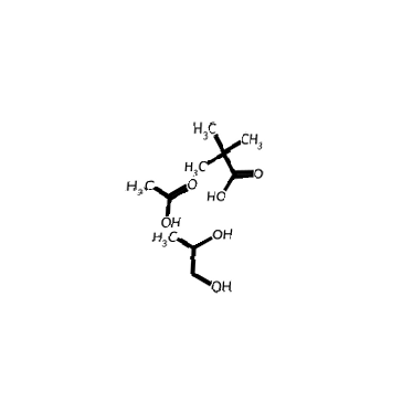 CC(=O)O.CC(C)(C)C(=O)O.CC(O)CO